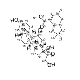 COC(=O)C1=CC(C)CC2CC(C)(C)C=C12.C[C@]12CC[C@@H](O)C[C@H]1CC[C@@H]1[C@@H]2C(=O)C[C@@]2(C)[C@H]1CC[C@]2(O)C(=O)CO